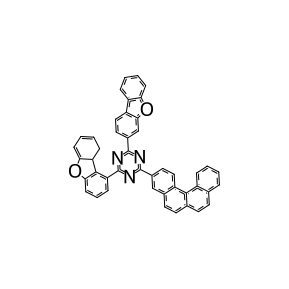 C1=CCC2C(=C1)Oc1cccc(-c3nc(-c4ccc5c(ccc6ccc7ccccc7c65)c4)nc(-c4ccc5c(c4)oc4ccccc45)n3)c12